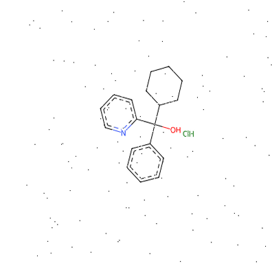 Cl.OC(c1ccccc1)(c1ccccn1)C1CCCCC1